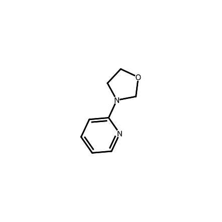 c1ccc(N2CCOC2)nc1